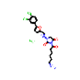 Cl.NCCCCCC(=O)N1C(=O)CN(/N=C/c2ccc(-c3ccc(Cl)c(Cl)c3)o2)C1=O